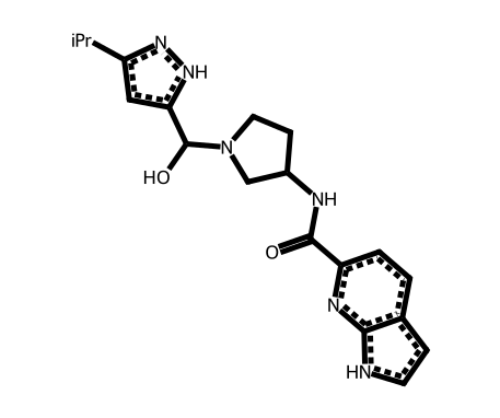 CC(C)c1cc(C(O)N2CCC(NC(=O)c3ccc4cc[nH]c4n3)C2)[nH]n1